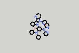 C1=CN=c2c(n(-c3ccccn3)c3c2c2cccc4c2n3-c2cc(N(c3ccccn3)c3ccccn3)cc3c2B4c2ccccc2N3c2ccccc2)=CC1